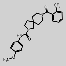 O=C(Nc1ccc(OC(F)(F)F)cc1)N1CCC2(CCN(C(=O)c3ccccc3C(F)(F)F)CC2)C1